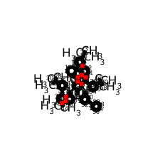 CC(C)(C)c1ccc(C23CCCCC2(C)N(c2cc4c5c(c2)N(c2ccc(C(C)(C)C)cc2-c2ccccc2)c2cc(C(C)(C)C)ccc2B5c2ccc(-c5ccccc5)cc2N4c2ccc(C(C)(C)C)cc2-c2ccccc2)c2ccccc23)cc1